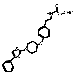 O=COC(=O)NCCc1ccc(NC2CCN(c3nc(-c4ccccc4)cs3)CC2)cc1